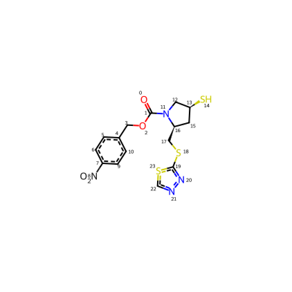 O=C(OCc1ccc([N+](=O)[O-])cc1)N1C[C@@H](S)C[C@H]1CSc1nncs1